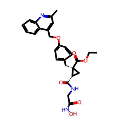 CCOC(=O)[C@@]1(Cc2ccc(OCc3cc(C)nc4ccccc34)cc2)C[C@@H]1C(=O)NCC(=O)NO